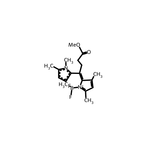 COC(=O)CC/C(=C1\C(C)=CC(C)=[N+]1B(F)F)c1c(C)cc(C)n1C